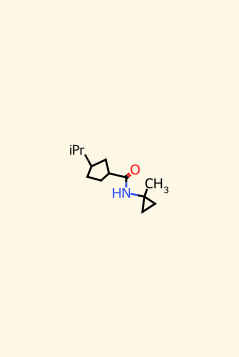 CC(C)C1CCC(C(=O)NC2(C)CC2)C1